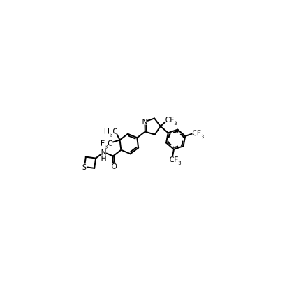 CC1(C(F)(F)F)C=C(C2=NCC(c3cc(C(F)(F)F)cc(C(F)(F)F)c3)(C(F)(F)F)C2)C=CC1C(=O)NC1CSC1